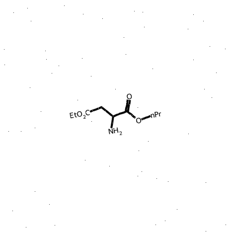 CCCOC(=O)C(N)CC(=O)OCC